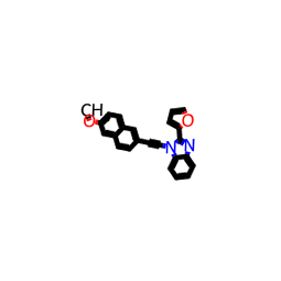 COc1ccc2cc(C#Cn3c(-c4ccco4)nc4ccccc43)ccc2c1